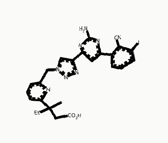 CCC(C)(CC(=O)O)c1cccc(Cn2cc(-c3cc(-c4cccc(I)c4C#N)nc(N)n3)nn2)n1